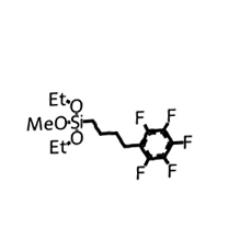 CCO[Si](CCCCc1c(F)c(F)c(F)c(F)c1F)(OC)OCC